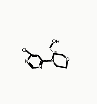 OC[C@@H]1COCCN1c1cc(Cl)ncn1